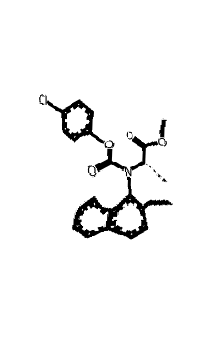 COC(=O)[C@H](C)N(C(=O)Oc1ccc(Cl)cc1)c1c(C)ccc2ccccc12